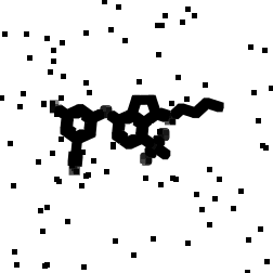 CCCC/N=C1\CCc2c(Oc3cc(F)cc(C#N)c3)ccc(S(C)(=O)=O)c21